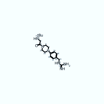 CC(C)(C)NCC(=O)N1CCN(c2ccc(CNC(=N)N)cc2)CC1